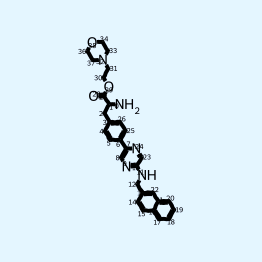 NC(Cc1ccc(-c2cnc(NCc3ccc4ccccc4c3)cn2)cc1)C(=O)OCCN1CCOCC1